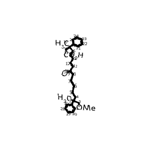 COCC(C)(CCCCCC(=O)CCCCCC(C)(CC(=O)O)c1ccccc1)c1ccccc1